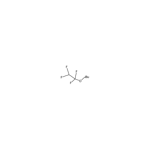 CCC(C)OC(F)(F)C(F)F